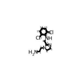 NCCN1CCN=C1CNc1c(Cl)cccc1Cl